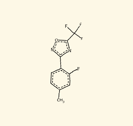 Cc1ccc(-c2noc(C(F)(F)F)n2)c(F)c1